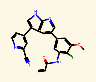 C=CC(=O)Nc1cc(-c2cnc3[nH]cc(-c4ccnc(C#N)c4)c3c2)cc(OC)c1F